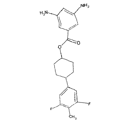 Cc1c(F)cc(C2CCC(OC(=O)c3cc(N)cc(N)c3)CC2)cc1F